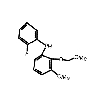 COCOc1c(OC)cccc1Pc1ccccc1F